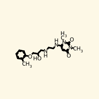 Cc1ccccc1OCC(O)CNCCNc1cc(=O)n(C)c(=O)n1C